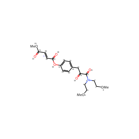 COCCN(CCOC)C(=O)C(=O)Cc1ccc(OC(=O)/C=C/C(=O)OC)cc1